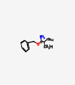 CCCCC(C(=O)O)[C@H](N)OCc1ccccc1